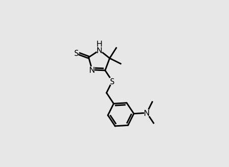 CN(C)c1cccc(CSC2=NC(=S)NC2(C)C)c1